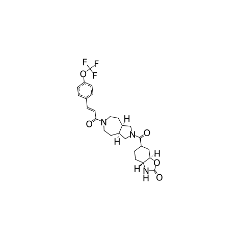 O=C1N[C@@H]2CC[C@@H](C(=O)N3C[C@H]4CCN(C(=O)/C=C/c5ccc(OC(F)(F)F)cc5)CC[C@H]4C3)C[C@H]2O1